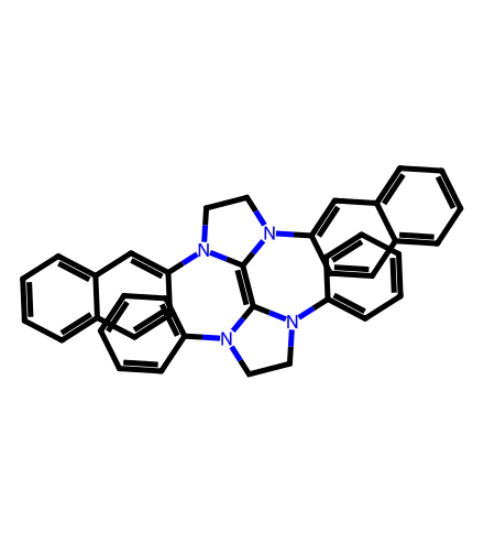 c1ccc(N2CCN(c3ccccc3)C2=C2N(c3ccc4ccccc4c3)CCN2c2ccc3ccccc3c2)cc1